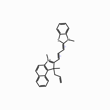 C=CCC1(C)C(/C=C/C=C2\Sc3ccccc3N2C)=[N+](C)c2ccc3ccccc3c21